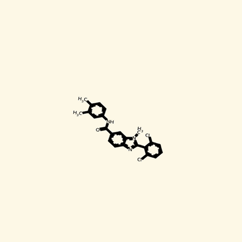 Cc1ccc(NC(=O)c2ccc3nc(-c4c(Cl)cccc4Cl)n(C)c3c2)cc1C